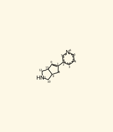 C1=C(c2cccnc2)CC2CNCC12